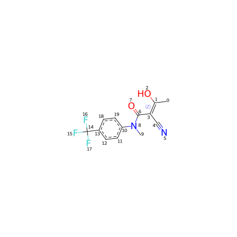 C/C(O)=C(\C#N)C(=O)N(C)c1ccc(C(F)(F)F)cc1